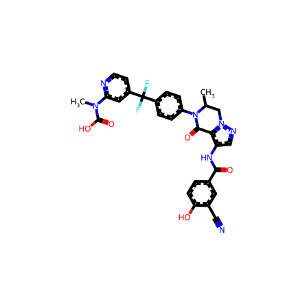 CC1Cn2ncc(NC(=O)c3ccc(O)c(C#N)c3)c2C(=O)N1c1ccc(C(F)(F)c2ccnc(N(C)C(=O)O)c2)cc1